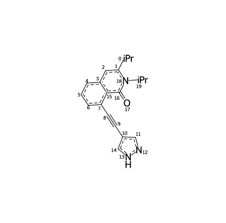 CC(C)c1cc2cccc(C#Cc3cn[nH]c3)c2c(=O)n1C(C)C